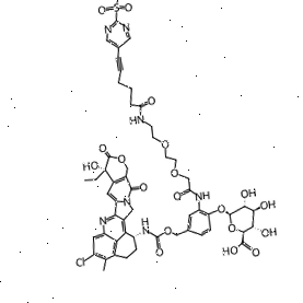 CC[C@@]1(O)C(=O)OCc2c1cc1n(c2=O)Cc2c-1nc1cc(Cl)c(C)c3c1c2[C@H](NC(=O)OCc1ccc(O[C@@H]2O[C@H](C(=O)O)[C@@H](O)[C@H](O)[C@H]2O)c(NC(=O)COCCOCCNC(=O)CCCC#Cc2cnc(S(C)(=O)=O)nc2)c1)CC3